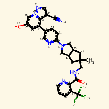 CC1(CNC(=O)c2ncccc2C(F)(F)F)CC2CN(c3ccc(-c4cc(O)cn5ncc(C#N)c45)cn3)CC2C1